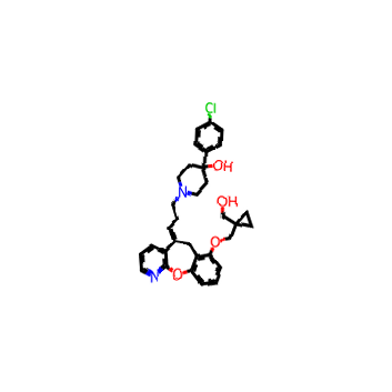 OCC1(COc2cccc3c2CC(=CCCN2CCC(O)(c4ccc(Cl)cc4)CC2)c2cccnc2O3)CC1